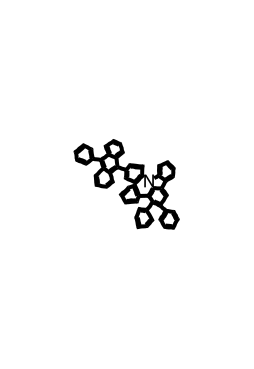 c1ccc(-c2cc3c4ccccc4n(-c4ccc(-c5c6ccccc6c(-c6ccccc6)c6ccccc56)cc4)c3c(-c3ccccc3)c2-c2ccccc2)cc1